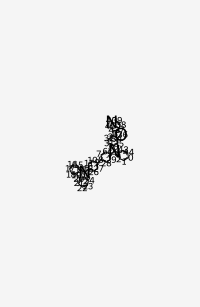 c1ccc(N(c2ccc(-c3ccc(-n4c5ccccc5c5ccccc54)cc3)cc2)c2ccc3c(c2)oc2ccncc23)cc1